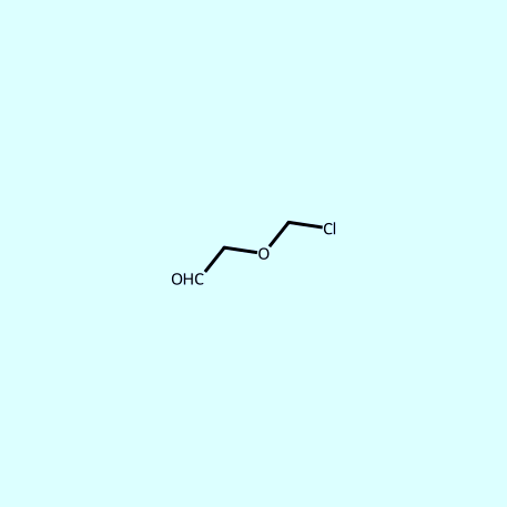 O=CCOCCl